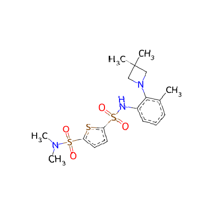 Cc1cccc(NS(=O)(=O)c2ccc(S(=O)(=O)N(C)C)s2)c1N1CC(C)(C)C1